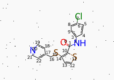 O=C(Nc1ccc(Cl)cc1)c1sccc1SCc1ccncc1